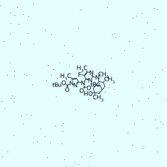 Cc1nc(N(C)C2C(C)CC3CC2CC(C)(O)C3)nc(N(C(=O)OC(C)(C)C)c2cc(C)n(C(=O)OC(C)(C)C)n2)c1F